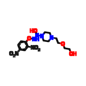 O=[N+]([O-])c1ccc(ONN(O)N2CCN(CCOCCO)CC2)c([N+](=O)[O-])c1